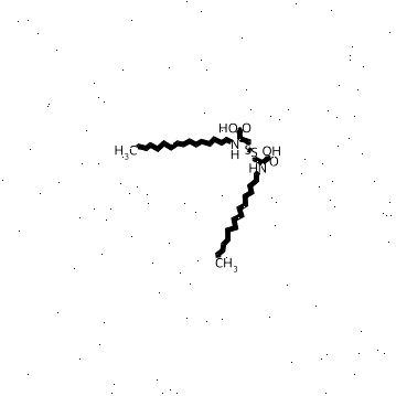 CCCCCCCCCCCCCCCCNC(CSSCC(NCCCCCCCCCCCCCCCC)C(=O)O)C(=O)O